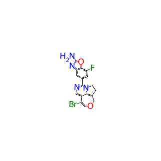 Nc1nc2cc(C3=NC=C4C(Br)=COCC5=C4N3CC5)cc(F)c2o1